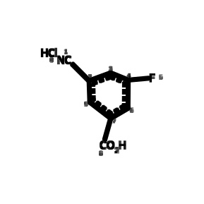 Cl.N#Cc1cc(F)cc(C(=O)O)c1